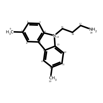 Cc1ccc2c(c1)c1cc(C)ccc1n2CCCN